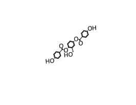 O=C(Oc1ccc(OC(=O)c2ccc(O)cc2)c(CO)c1)c1ccc(O)cc1